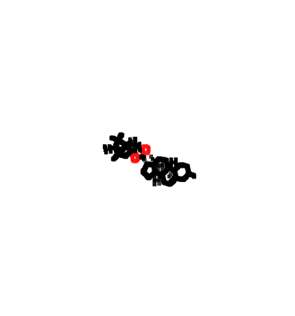 CC1=C[C@@H](OC(=O)[C@H]2CC[C@H]3[C@@H]4CC=C5CC(C)CC[C@]5(C)[C@H]4CC[C@]23C)[C@@H]2C[C@H]1C2(C)C